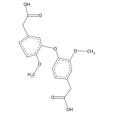 COc1cc(CC(=O)O)ccc1Oc1cc(CC(=O)O)ccc1OC